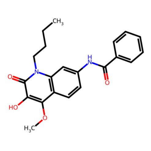 CCCCn1c(=O)c(O)c(OC)c2ccc(NC(=O)c3ccccc3)cc21